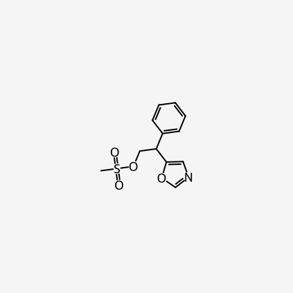 CS(=O)(=O)OCC(c1ccccc1)c1cnco1